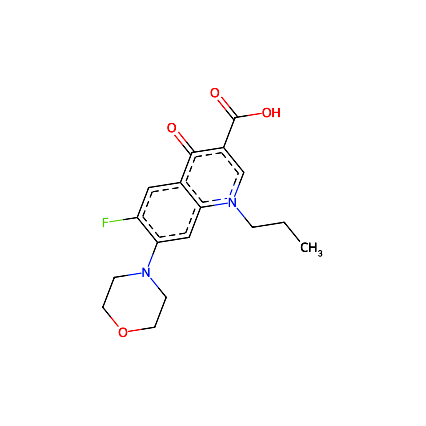 CCCn1cc(C(=O)O)c(=O)c2cc(F)c(N3CCOCC3)cc21